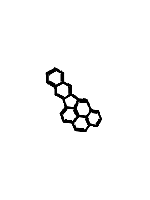 c1ccc2cc3c(cc2c1)-c1ccc2ccc4cccc5cc-3c1c2c45